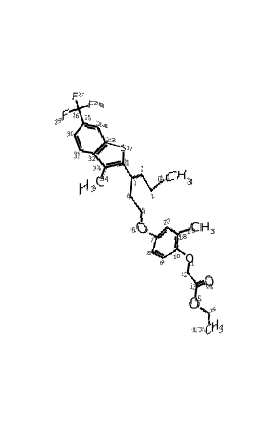 CCCC(CCOc1ccc(OCC(=O)OCC)c(C)c1)c1sc2cc(C(F)(F)F)ccc2c1C